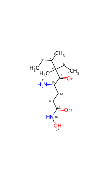 CCC(C)C(C)(CC)C(=O)[C@H](N)CCC(=O)NO